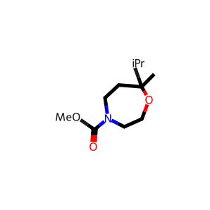 COC(=O)N1CCOC(C)(C(C)C)CC1